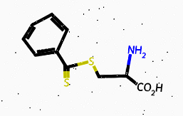 NC(CSC(=S)c1ccccc1)C(=O)O